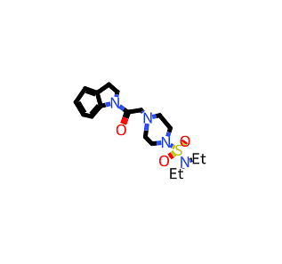 CCN(CC)S(=O)(=O)N1CCN(CC(=O)N2CCc3ccccc32)CC1